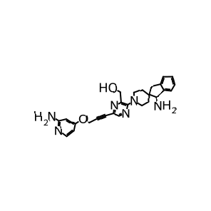 Nc1cc(OCC#Cc2cnc(N3CCC4(CC3)Cc3ccccc3[C@H]4N)c(CO)n2)ccn1